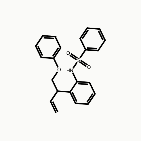 C=CC(COc1c[c]ccc1)c1ccccc1NS(=O)(=O)c1ccccc1